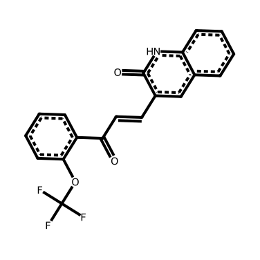 O=C(C=Cc1cc2ccccc2[nH]c1=O)c1ccccc1OC(F)(F)F